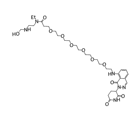 CCN(CCNCO)C(=O)CCOCCOCCOCCOCCOCCOCCNc1cccc2cnn(C3CCC(=O)NC3=O)c(=O)c12